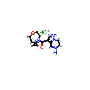 Cl.O=C(c1cnn2c1CNCC2)N1CCOCCC12CC2